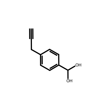 C#CCc1ccc(C(O)O)cc1